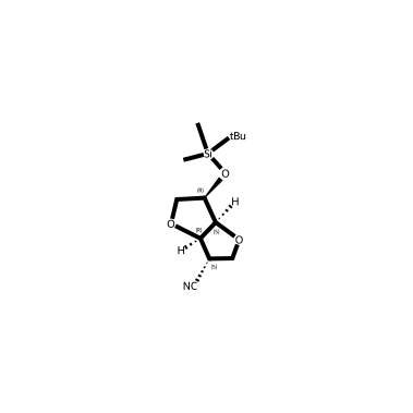 CC(C)(C)[Si](C)(C)O[C@@H]1CO[C@H]2[C@@H]1OC[C@@H]2C#N